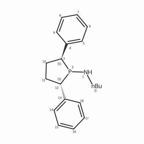 CCCCNP1[C@H](c2ccccc2)CC[C@H]1c1ccccc1